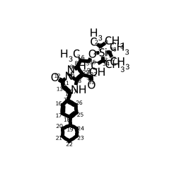 CC(C)[Si](OC[C@@H](C)c1nn2c(=O)cc(-c3ccc(C4CCCCC4)cc3)[nH]c2c1C(=O)O)(C(C)C)C(C)C